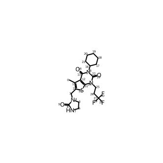 Cc1c(CN2CCNC2=O)sc2c1c(=O)n(C1CCCCC1)c(=O)n2CCC(F)(F)F